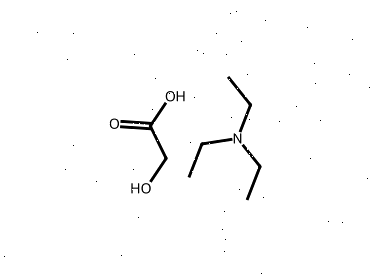 CCN(CC)CC.O=C(O)CO